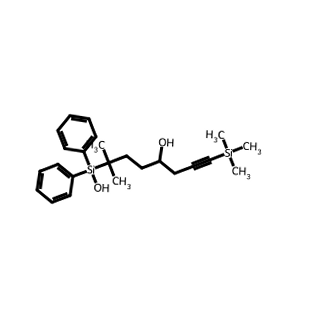 CC(C)(CCC(O)CC#C[Si](C)(C)C)[Si](O)(c1ccccc1)c1ccccc1